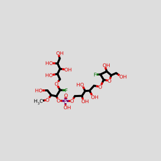 COC(CO)C(OP(=O)(O)OCC(O)C(O)C(O)COC1OC(CO)C(O)C1F)C(F)OCC(O)C(O)C(O)CO